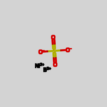 O=S(=O)([O-])[O-].[B+3].[Ni+2]